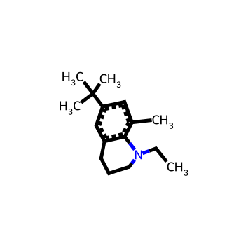 CCN1CCCc2cc(C(C)(C)C)cc(C)c21